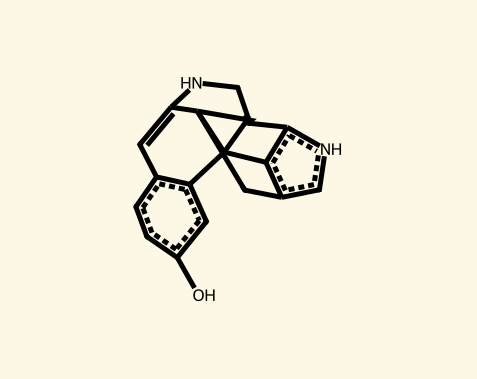 Oc1ccc2c(c1)C13CCNC(=C2)C12C=Cc1[nH]cc(c13)C2